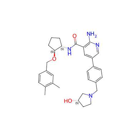 Cc1ccc(CO[C@H]2CCC[C@@H]2NC(=O)c2cc(-c3ccc(CN4CC[C@H](O)C4)cc3)cnc2N)cc1C